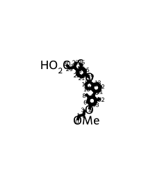 COCCCOc1cc(C)c(-c2cccc3c2CC[C@H]3Oc2ccc3c(c2)SCC3CC(=O)O)c(C)c1